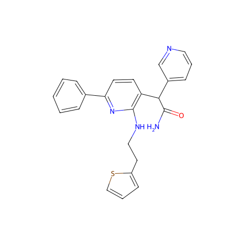 NC(=O)C(c1cccnc1)c1ccc(-c2ccccc2)nc1NCCc1cccs1